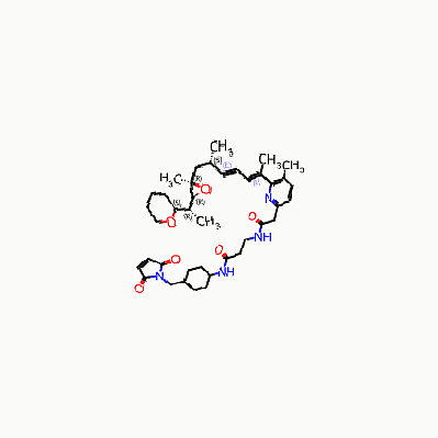 C/C(=C\C=C\[C@@H](C)C[C@@]1(C)O[C@@H]1[C@H](C)[C@@H]1CCCCO1)c1nc(CC(=O)NCCC(=O)NC2CCC(CN3C(=O)C=CC3=O)CC2)ccc1C